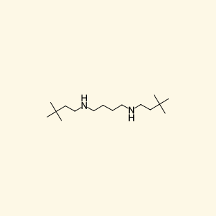 CC(C)(C)CCNCCCCNCCC(C)(C)C